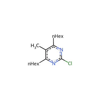 CCCCCCc1nc(Cl)nc(CCCCCC)c1C